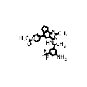 CC(=O)N1CC=C(c2cc3c(NC(C)c4cc(N)cc(C(F)(F)F)c4)nc(C)nc3c3c2CCC3)CC1